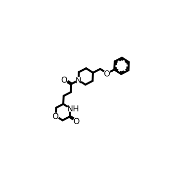 O=C1COCC(CCC(=O)N2CCC(COc3ccccc3)CC2)N1